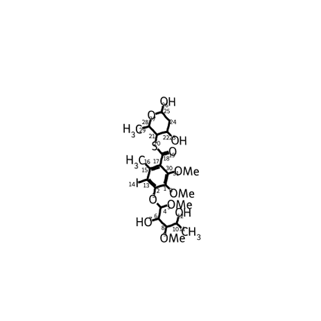 COc1c(OC(OC)C(O)C(OC)C(C)O)c(I)c(C)c(C(=O)SC2C(O)CC(O)OC2C)c1OC